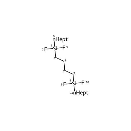 CCCCCCC[Si](F)(F)CCCC[Si](F)(F)CCCCCCC